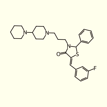 O=C1C(=Cc2cccc(F)c2)SC(c2ccccc2)N1CCCN1CCC(N2CCCCC2)CC1